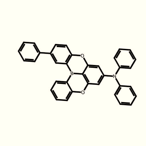 c1ccc(-c2ccc3c(c2)B2c4ccccc4Oc4cc(N(c5ccccc5)c5ccccc5)cc(c42)O3)cc1